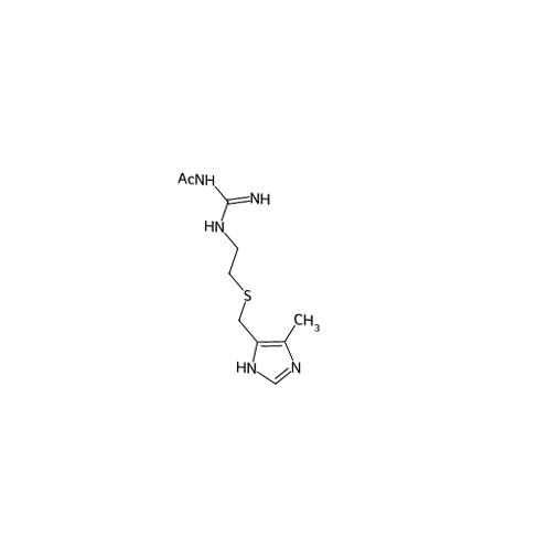 CC(=O)NC(=N)NCCSCc1[nH]cnc1C